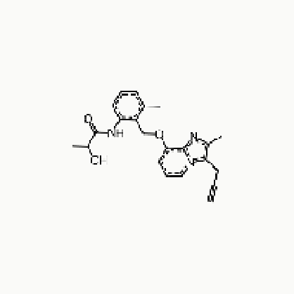 C#CCc1c(C)nc2c(OCc3c(C)cccc3NC(=O)C(C)O)cccn12